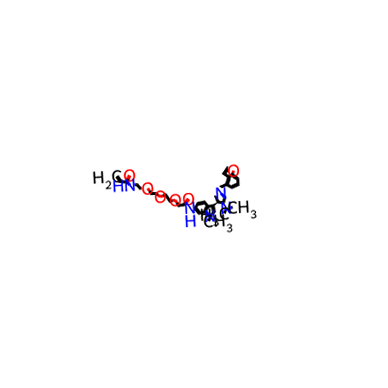 C=CC(=O)NCCOCCOCCOCC(=O)Nc1ccc2c([C@H]3CN(Cc4cccc5occc45)C[C@@H]3N(C)C)cn(C)c2c1